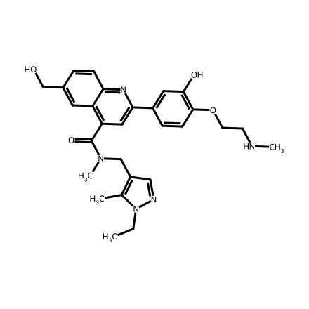 CCn1ncc(CN(C)C(=O)c2cc(-c3ccc(OCCNC)c(O)c3)nc3ccc(CO)cc23)c1C